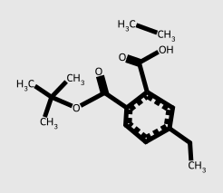 CC.CCc1ccc(C(=O)OC(C)(C)C)c(C(=O)O)c1